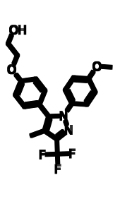 COc1ccc(-n2nc(C(F)(F)F)c(C)c2-c2ccc(OCCO)cc2)cc1